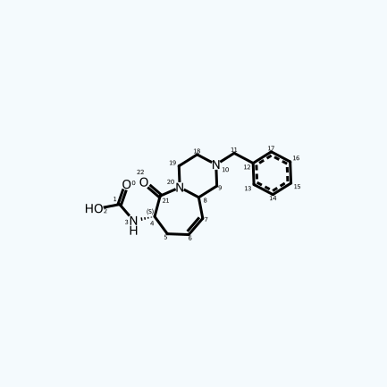 O=C(O)N[C@H]1CC=CC2CN(Cc3ccccc3)CCN2C1=O